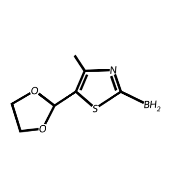 Bc1nc(C)c(C2OCCO2)s1